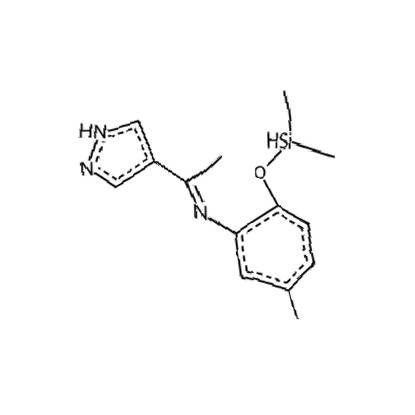 CC(=Nc1cc(C)ccc1O[SiH](C)C)c1cn[nH]c1